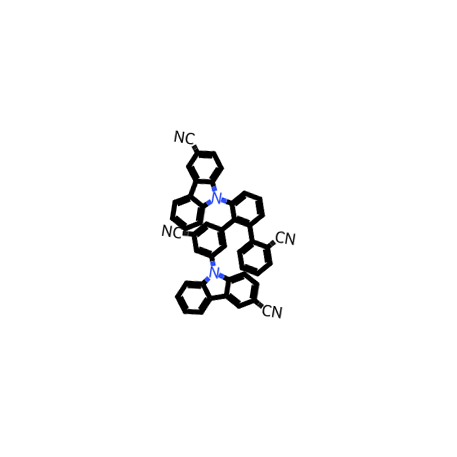 N#Cc1cc(-c2c(-c3ccccc3C#N)cccc2-n2c3ccccc3c3cc(C#N)ccc32)cc(-n2c3ccccc3c3cc(C#N)ccc32)c1